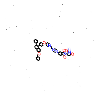 O=C1CCC(N2C(=O)c3ccc(N4CCN(CCN5CCC(Oc6ccc(C7=C(c8ccccc8)CCc8cc(OCc9ccccc9)ccc87)cc6)CC5)CC4)cc3C2=O)C(=O)N1